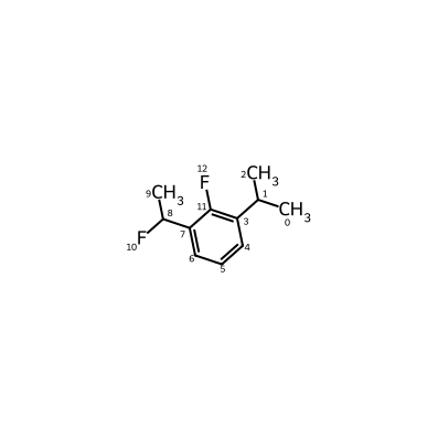 CC(C)c1cccc(C(C)F)c1F